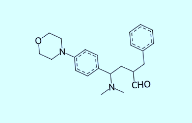 CN(C)C(CC(C=O)Cc1ccccc1)c1ccc(N2CCOCC2)cc1